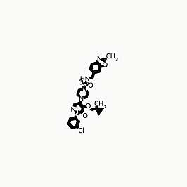 Cc1nc2ccc(CNS(=O)(=O)N3CCN(c4cnn(-c5cccc(Cl)c5)c(=O)c4OCC4(C)CC4)CC3)cc2o1